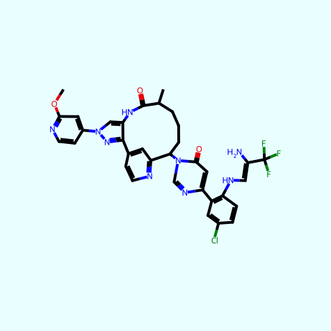 COc1cc(-n2cc3c(n2)-c2ccnc(c2)C(n2cnc(-c4cc(Cl)ccc4N/C=C(\N)C(F)(F)F)cc2=O)CCCC(C)C(=O)N3)ccn1